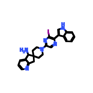 N[C@@H]1c2cccnc2CC12CCN(c1cnc(-c3c[nH]c4ccccc34)c(I)n1)CC2